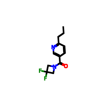 CCCc1ccc(C(=O)N2CC(F)(F)C2)cn1